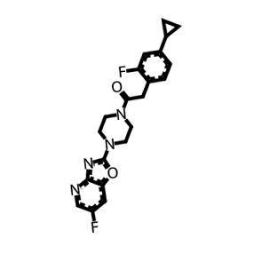 O=C(Cc1ccc(C2CC2)cc1F)N1CCN(c2nc3ncc(F)cc3o2)CC1